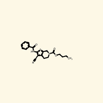 CCCCOC(=O)N1CCc2c(sc(NC(=O)c3ccccc3)c2C#N)C1